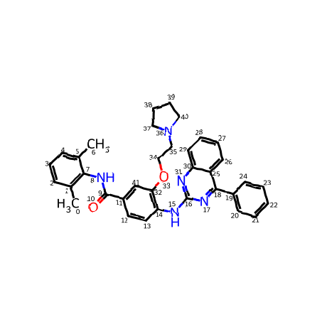 Cc1cccc(C)c1NC(=O)c1ccc(Nc2nc(-c3ccccc3)c3ccccc3n2)c(OCCN2CCCC2)c1